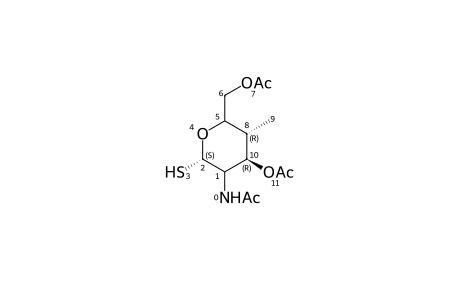 CC(=O)NC1[C@H](S)OC(COC(C)=O)[C@H](C)[C@H]1OC(C)=O